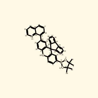 CC1(C)OB(c2ccc3c(c2)C2(c4cc(-c5cccc6cccnc56)ccc4O3)c3ccccc3-c3ccccc32)OC1(C)C